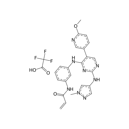 C=CC(=O)Nc1cccc(Nc2nc(Nc3cnn(C)c3)ncc2-c2ccc(OC)nc2)c1.O=C(O)C(F)(F)F